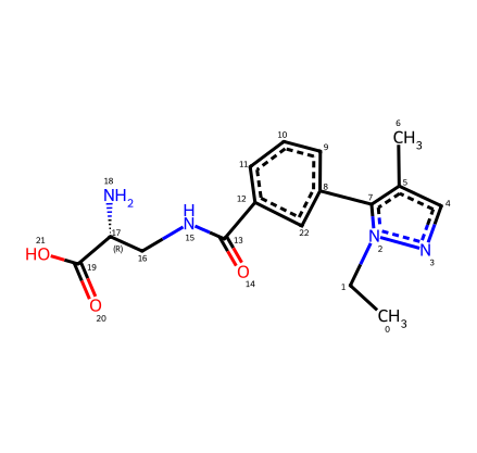 CCn1ncc(C)c1-c1cccc(C(=O)NC[C@@H](N)C(=O)O)c1